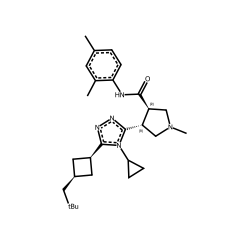 Cc1ccc(NC(=O)[C@H]2CN(C)C[C@@H]2c2nnc([C@H]3C[C@@H](CC(C)(C)C)C3)n2C2CC2)c(C)c1